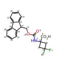 O=C(NC1(C(=O)O)CC(F)(F)C1)OCC1c2ccccc2-c2ccccc21